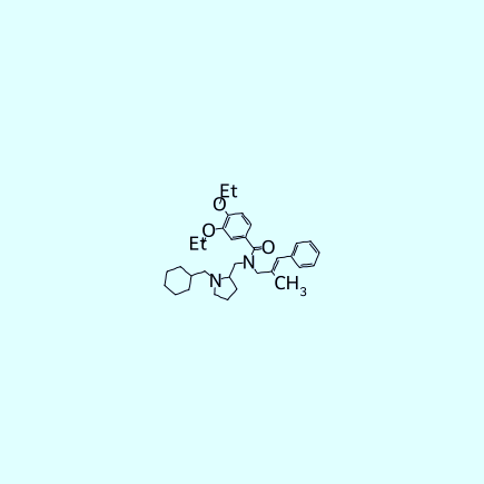 CCOc1ccc(C(=O)N(CC(C)=Cc2ccccc2)CC2CCCN2CC2CCCCC2)cc1OCC